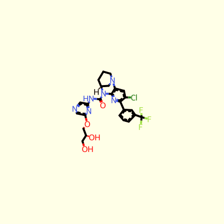 O=C(Nc1cncc(OC[C@@H](O)CO)n1)N1c2nc(-c3cccc(C(F)(F)F)c3)c(Cl)cc2N2CCC[C@H]1C2